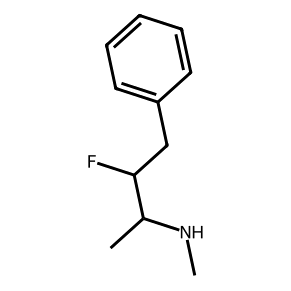 CNC(C)C(F)Cc1ccccc1